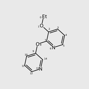 CCOc1cccnc1Oc1cccnc1